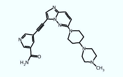 CN1CCN(C2CCN(c3ccc4ncc(C#Cc5cncc(C(N)=O)c5)n4n3)CC2)CC1